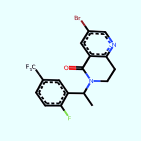 CC(c1cc(C(F)(F)F)ccc1F)N1CCc2ncc(Br)cc2C1=O